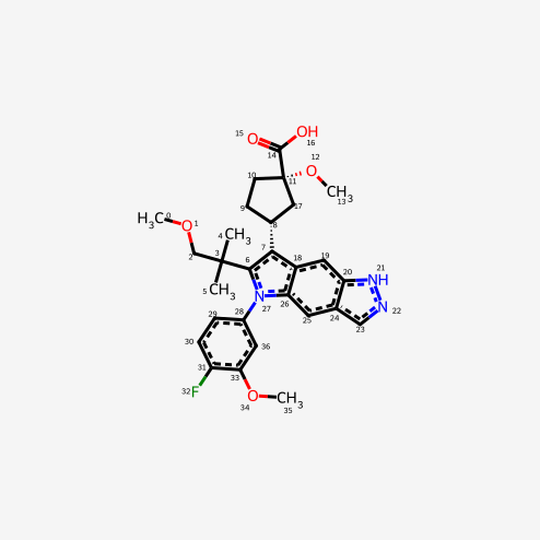 COCC(C)(C)c1c([C@@H]2CC[C@@](OC)(C(=O)O)C2)c2cc3[nH]ncc3cc2n1-c1ccc(F)c(OC)c1